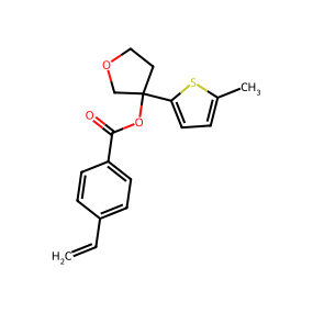 C=Cc1ccc(C(=O)OC2(c3ccc(C)s3)CCOC2)cc1